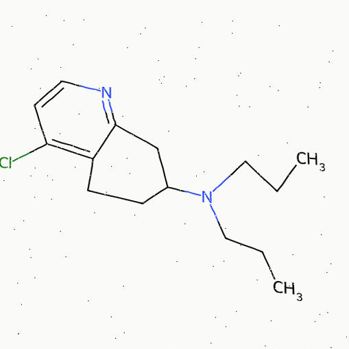 CCCN(CCC)C1CCc2c(Cl)ccnc2C1